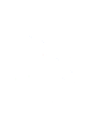 CCCc1nc(C(=O)NCC(O)CN2CCN(c3cccc(Cl)c3C)CC2)cn1-c1ccc(Cl)cc1.Cl.Cl